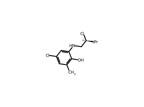 Cc1cc(Cl)cc(NC[C@@H](Cl)C(C)C)c1O